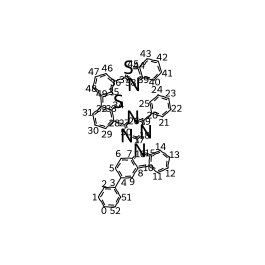 c1ccc(-c2ccc3c(c2)c2ccccc2n3-c2nc(-c3ccccc3)nc(-c3cccc4c3sc3c(-c5nc6ccccc6s5)cccc34)n2)cc1